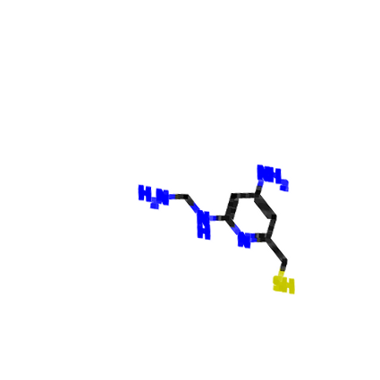 NCNc1cc(N)cc(CS)n1